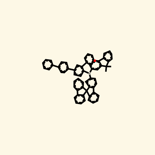 CC1(C)c2ccccc2-c2ccc(N(c3ccc4c(c3)C3(c5ccccc5-c5ccccc53)c3ccccc3-4)c3ccc(-c4ccc(-c5ccccc5)cc4)cc3-c3ccccc3)cc21